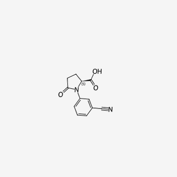 N#Cc1cccc(N2C(=O)CC[C@H]2C(=O)O)c1